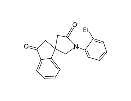 CCc1ccccc1N1CC2(CC(=O)c3ccccc32)CC1=O